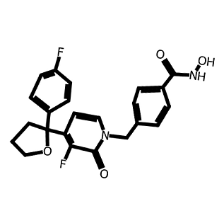 O=C(NO)c1ccc(Cn2ccc(C3(c4ccc(F)cc4)CCCO3)c(F)c2=O)cc1